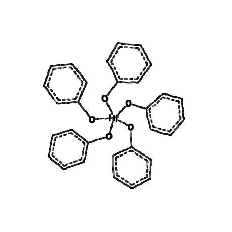 c1ccc([O][Hf]([O]c2ccccc2)([O]c2ccccc2)([O]c2ccccc2)[O]c2ccccc2)cc1